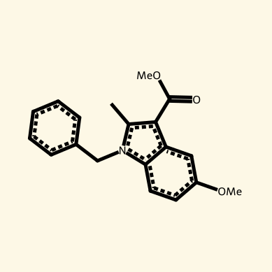 COC(=O)c1c(C)n(Cc2ccccc2)c2ccc(OC)cc12